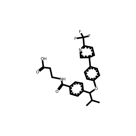 CC(C)C(Oc1ccc(-c2ccc(C(F)(F)F)nc2)cc1)c1ccc(C(=O)NCCC(=O)O)cc1